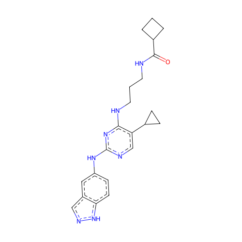 O=C(NCCCNc1nc(Nc2ccc3[nH]ncc3c2)ncc1C1CC1)C1CCC1